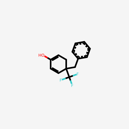 OC1=CCC(Cc2ccccc2)(C(F)(F)F)C=C1